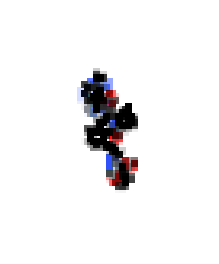 Cc1ncn2ccnc2c1C(=O)NC(C)c1cc2cccc(C#CCNC(=O)[C@H]3CCCO3)c2c(=O)n1-c1ccccc1